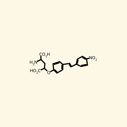 NC(CC(Oc1ccc(C=Cc2ccc([N+](=O)[O-])cc2)cc1)C(=O)O)C(=O)O